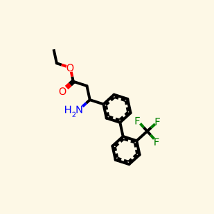 CCOC(=O)CC(N)c1cccc(-c2ccccc2C(F)(F)F)c1